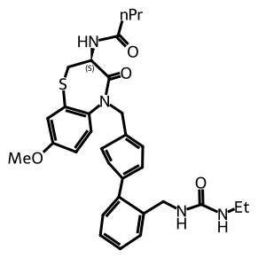 CCCC(=O)N[C@@H]1CSc2cc(OC)ccc2N(Cc2ccc(-c3ccccc3CNC(=O)NCC)cc2)C1=O